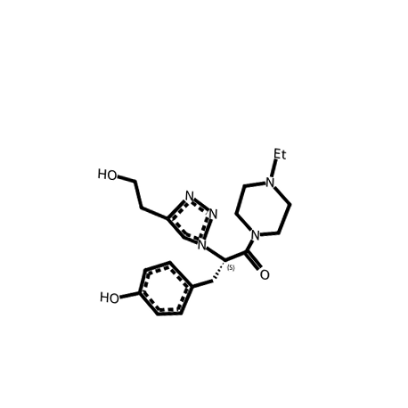 CCN1CCN(C(=O)[C@H](Cc2ccc(O)cc2)n2cc(CCO)nn2)CC1